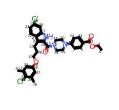 CCOC(=O)c1ccc(N2CCN(C(=O)c3[nH]c4cc(Cl)ccc4c3CCCOc3cc(C)c(Cl)c(C)c3)CC2)cc1